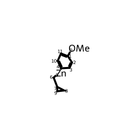 COc1cc[c]([Zn][CH2]C2CC2)cc1